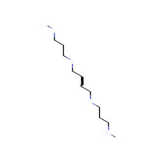 CCCCNCCCNC/C=C/CNCCCNCCCC.Cl.Cl.Cl.Cl